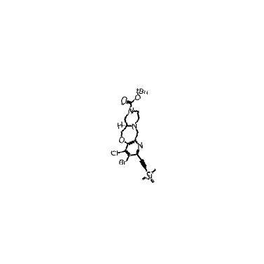 CC(C)(C)OC(=O)N1CCN2Cc3nc(C#C[Si](C)(C)C)c(Br)c(Cl)c3OC[C@H]2C1